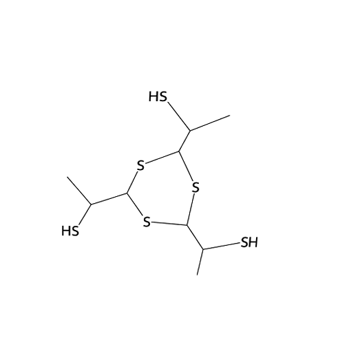 CC(S)C1SC(C(C)S)SC(C(C)S)S1